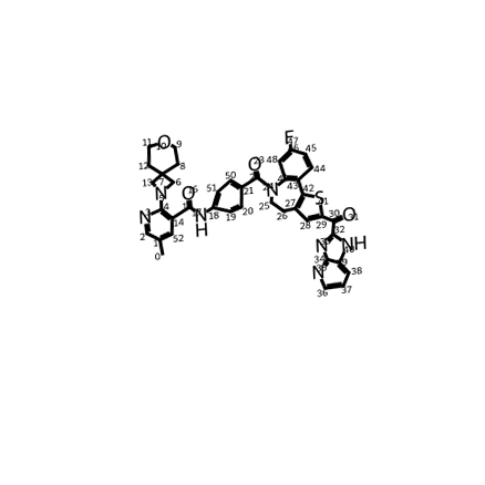 Cc1cnc(N2CC3(CCOCC3)C2)c(C(=O)Nc2ccc(C(=O)N3CCc4cc(C(=O)c5nc6ncccc6[nH]5)sc4-c4ccc(F)cc43)cc2)c1